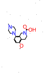 COc1ccc(N2CCN(C)CC2)c2c1CCN(C(=O)O)C2